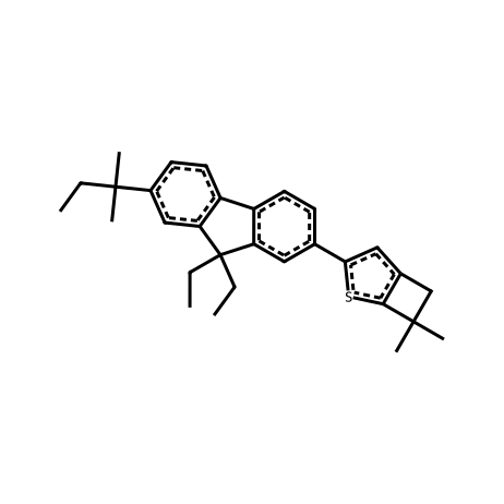 CCC(C)(C)c1ccc2c(c1)C(CC)(CC)c1cc(-c3cc4c(s3)C(C)(C)C4)ccc1-2